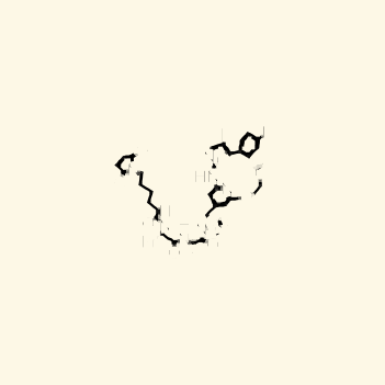 CC(C)[C@H](NC(=O)CCCCCN1C(=O)C=CC1=O)C(=O)N[C@@H](C)C(=O)N=S(C)(=O)Cc1cc2nc(c1)OCCCOc1cc(F)ccc1-c1cc(ncc1F)N2